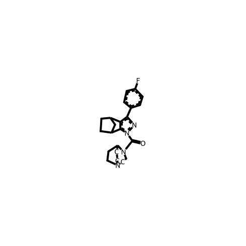 O=C(N1CCN2CCC1CC2)n1nc(-c2ccc(F)cc2)c2c1C1CCC2C1